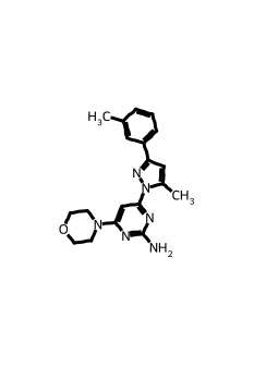 Cc1cccc(-c2cc(C)n(-c3cc(N4CCOCC4)nc(N)n3)n2)c1